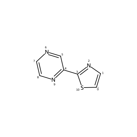 [c]1cnc(-c2cnccn2)s1